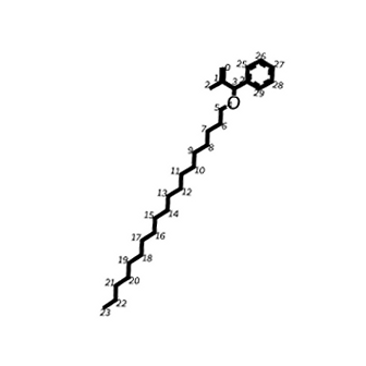 C=C(C)C(OCCCCCCCCCCCCCCCCCCC)c1ccccc1